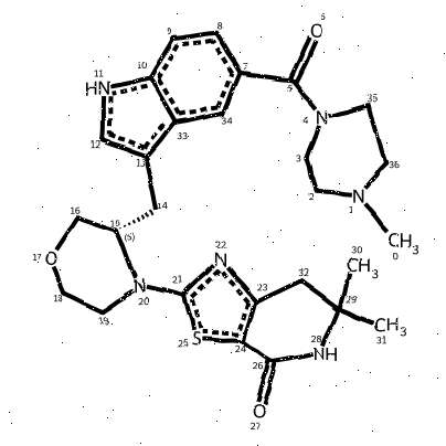 CN1CCN(C(=O)c2ccc3[nH]cc(C[C@H]4COCCN4c4nc5c(s4)C(=O)NC(C)(C)C5)c3c2)CC1